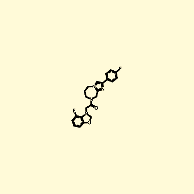 O=C(CN1COc2cccc(F)c21)N1CCCn2cc(-c3ccc(F)cc3)nc2C1